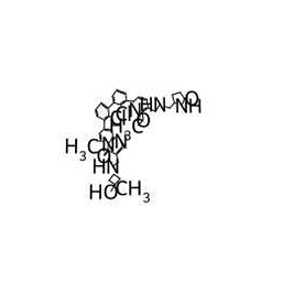 COc1nc(-c2cccc(-c3cccc(-c4cc(C)n5c(=O)c(CNC6CC(C)(O)C6)cnc5c4)c3Cl)c2Cl)ccc1CNCC1CCC(=O)N1